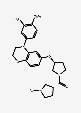 COc1ncc(N2CCOc3ccc(O[C@H]4CCN(C(=O)[C@@H]5CCN(C(C)=O)C5)C4)cc32)cc1C